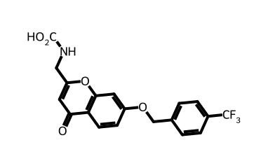 O=C(O)NCc1cc(=O)c2ccc(OCc3ccc(C(F)(F)F)cc3)cc2o1